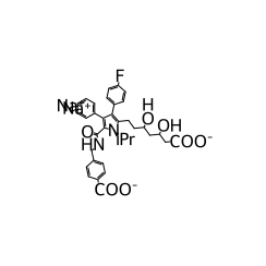 CC(C)n1c(CC[C@@H](O)C[C@@H](O)CC(=O)[O-])c(-c2ccc(F)cc2)c(-c2ccccc2)c1C(=O)NCc1ccc(C(=O)[O-])cc1.[Na+].[Na+]